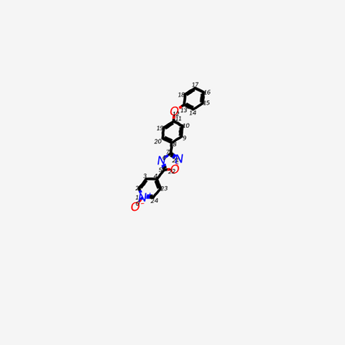 [O-][n+]1ccc(-c2nc(-c3ccc(Oc4ccccc4)cc3)no2)cc1